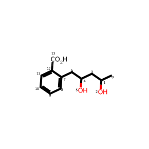 CC(O)CC(O)Cc1ccccc1C(=O)O